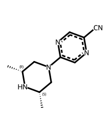 C[C@@H]1CN(c2cnc(C#N)cn2)C[C@H](C)N1